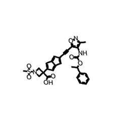 Cc1noc(C#CC2=CC3=CC(C4(C(=O)O)CN(S(C)(=O)=O)C4)=CC3=C2)c1NC(=O)OC(C)c1ccccc1